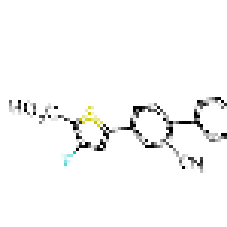 N#Cc1cc(-c2cc(F)c(C(=O)O)s2)ccc1-c1ccccc1